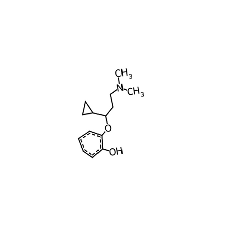 CN(C)CCC(Oc1ccccc1O)C1CC1